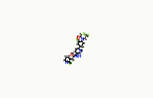 CC(=O)N(CC(F)F)c1ccc(-c2ccc(NC(=O)Cc3cccnc3F)cn2)cc1F